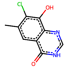 Cc1cc2c(=O)[nH]cnc2c(O)c1Cl